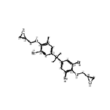 Cc1cc(C(C)(C)c2cc(Br)c(OCC3CO3)c(Br)c2)cc(Br)c1OCC1CO1